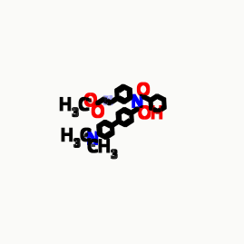 COC(=O)/C=C/c1cccc(N(C(=O)C2CCCCC2)C(O)c2ccc(-c3ccc(N(C)C)cc3)cc2)c1